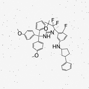 COc1ccc(C(NC2=N[C@](C)(c3cc(NC4CCC(c5ccccc5)C4)ccc3F)C(F)(F)C(C)(C)O2)(c2ccccc2)c2ccc(OC)cc2)cc1